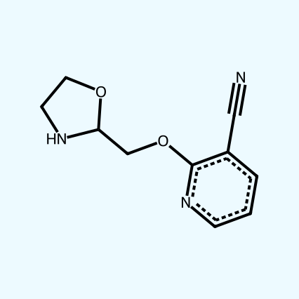 N#Cc1cccnc1OCC1NCCO1